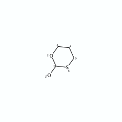 [O]C1OCCCS1